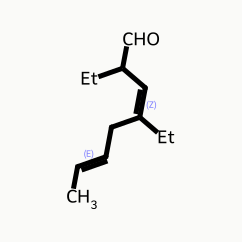 C/C=C/C/C(=C\C(C=O)CC)CC